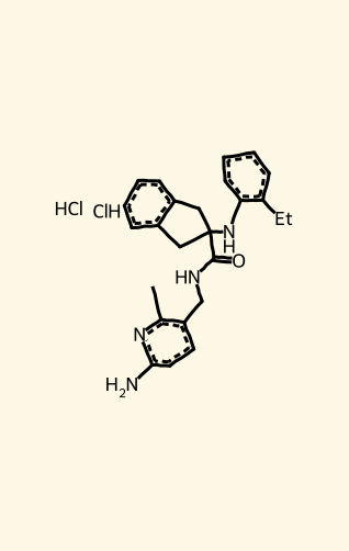 CCc1ccccc1NC1(C(=O)NCc2ccc(N)nc2C)Cc2ccccc2C1.Cl.Cl